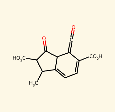 CC1C2=CC=C(C(=O)O)C(=C=O)C2C(=O)C1C(=O)O